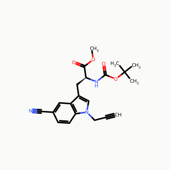 C#CCn1cc(C[C@H](NC(=O)OC(C)(C)C)C(=O)OC)c2cc(C#N)ccc21